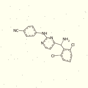 N#Cc1ccc(Nc2nccc(C(N)c3c(Cl)cccc3Cl)n2)cc1